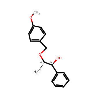 COc1ccc(CO[C@@H](C)[C@@H](O)c2ccccc2)cc1